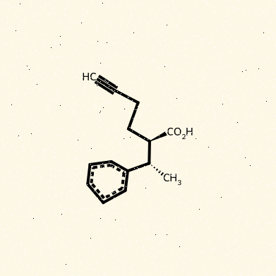 C#CCC[C@@H](C(=O)O)[C@H](C)c1ccccc1